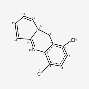 Clc1ccc(Cl)c2c1CN1C=CC=CC1=N2